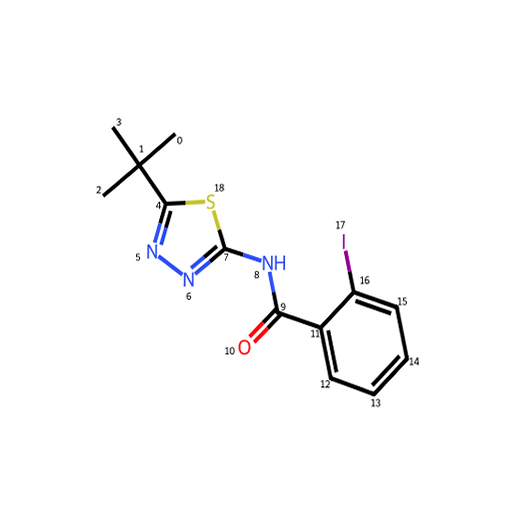 CC(C)(C)c1nnc(NC(=O)c2ccccc2I)s1